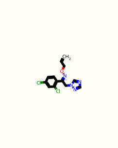 C=CCO/N=C(/Cn1cncn1)c1ccc(Cl)cc1Cl